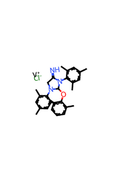 Cc1cc(C)c(N2CC(=N)N(c3c(C)cc(C)cc3C)C2Oc2c(C)cccc2C)c(C)c1.[Cl-].[V+]